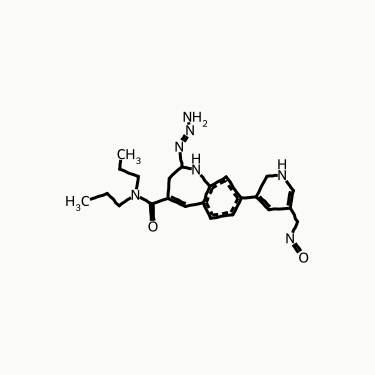 CCCN(CCC)C(=O)C1=Cc2ccc(C3=CC(CN=O)=CNC3)cc2NC(N=NN)C1